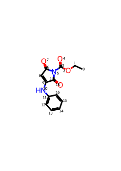 CCOC(=O)N1C(=O)C=C(Nc2ccccc2)C1=O